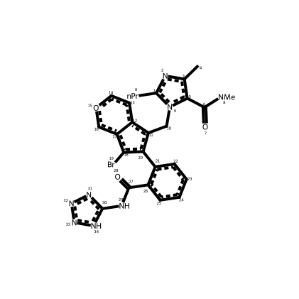 CCCc1nc(C)c(C(=O)NC)n1Cc1c2ccocc-2c(Br)c1-c1ccccc1C(=O)Nc1nnn[nH]1